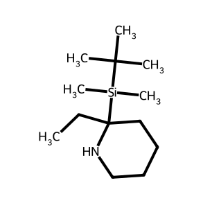 CCC1([Si](C)(C)C(C)(C)C)CCCCN1